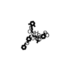 Cc1cccc(C)c1OCC(=O)N[C@@H](Cc1ccc(OCc2ccccc2)cc1)[C@@H](O)CN(CC(C)C)S(=O)(=O)c1ccc2c(c1)OCO2